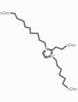 CCCCCCCCCCCCCCCCCCCn1cc[n+](CCCCCCCCCCCCCCCC)c1CCCCCCCCCCCC